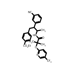 CCOC(=O)c1ccc(CC(c2cccc(C#N)c2)C(C)NC(=O)C(C)(C)Oc2ccc(C(F)(F)F)cn2)cc1